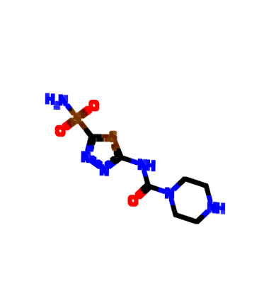 NS(=O)(=O)c1nnc(NC(=O)N2CCNCC2)s1